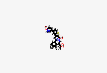 CNC(=O)CCN(CC1CCCCC1)C(=O)c1sc2ccc(-c3ccc(=O)n(C)c3)cc2c1C